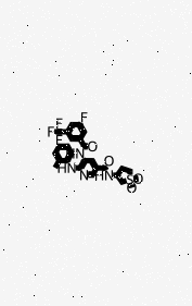 Cc1ccccc1Nc1ncc(C(=O)NC2CCS(=O)(=O)C2)cc1NC(=O)c1cc(F)cc(C(F)(F)F)c1